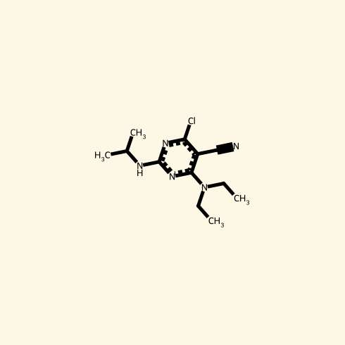 CCN(CC)c1nc(NC(C)C)nc(Cl)c1C#N